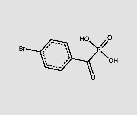 O=C(c1ccc(Br)cc1)P(=O)(O)O